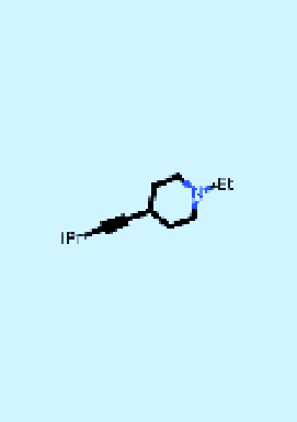 CCN1CCC(C#CC(C)C)CC1